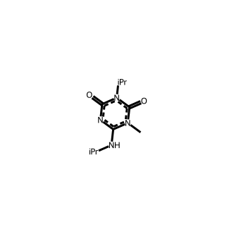 CC(C)Nc1nc(=O)n(C(C)C)c(=O)n1C